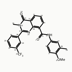 COc1ccc(NC(=O)c2cccc3c(=O)n(C)c(-c4cccc(C(F)(F)F)c4)nc23)cc1C